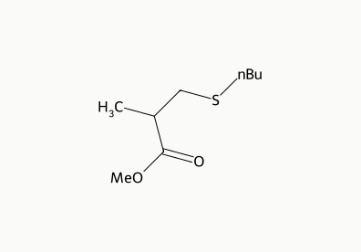 CCCCSCC(C)C(=O)OC